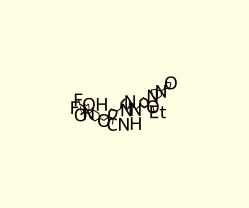 CCOc1cc(Nc2nccc(-c3ccc(OC4CCN(C(=O)[C@H](O)C(F)F)CC4)c(C#N)c3)n2)ccc1N1CCN(C2COC2)CC1